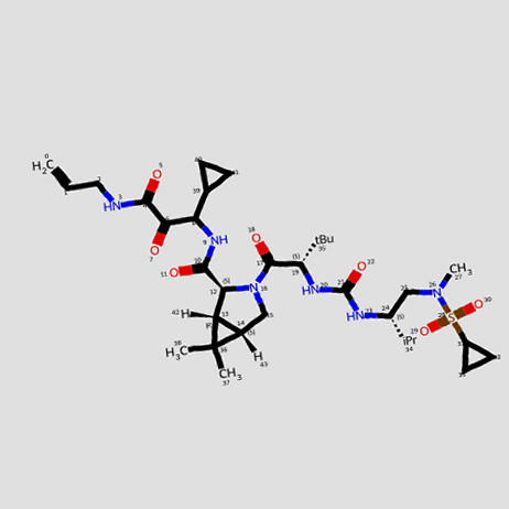 C=CCNC(=O)C(=O)C(NC(=O)[C@@H]1[C@@H]2[C@H](CN1C(=O)[C@@H](NC(=O)N[C@H](CN(C)S(=O)(=O)C1CC1)C(C)C)C(C)(C)C)C2(C)C)C1CC1